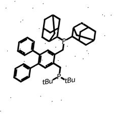 CC(C)(C)P(Cc1cc(-c2ccccc2)c(-c2ccccc2)cc1CP(C1C2CC3CC(C2)CC1C3)C1C2CC3CC(C2)CC1C3)C(C)(C)C